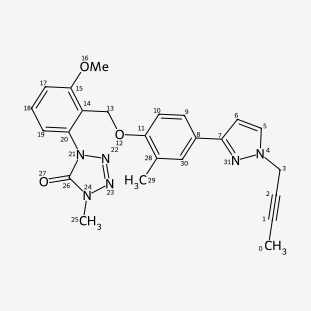 CC#CCn1ccc(-c2ccc(OCc3c(OC)cccc3-n3nnn(C)c3=O)c(C)c2)n1